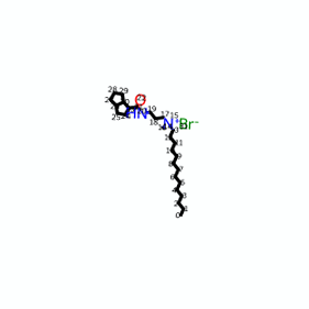 CCCCCCCCCCCCCC[N+](C)(C)CCCNC(=O)C1CCC2CCCC21.[Br-]